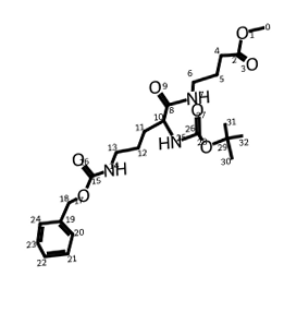 COC(=O)CCCNC(=O)C(CCCNC(=O)OCc1ccccc1)NC(=O)OC(C)(C)C